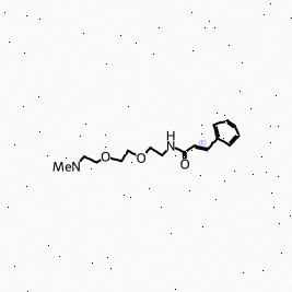 CNCCOCCOCCNC(=O)/C=C/c1ccccc1